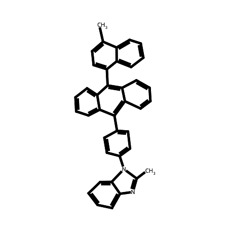 Cc1ccc(-c2c3ccccc3c(-c3ccc(-n4c(C)nc5ccccc54)cc3)c3ccccc23)c2ccccc12